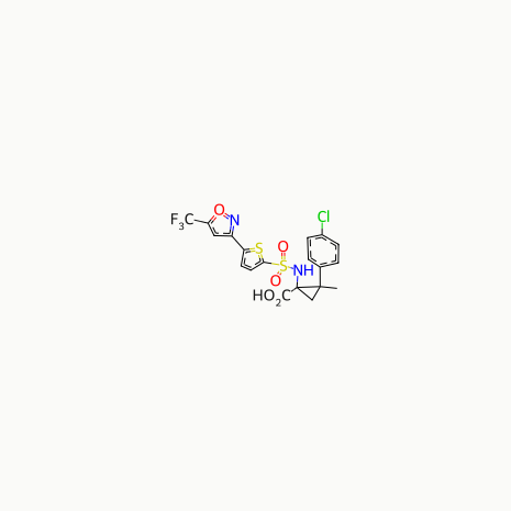 CC1(c2ccc(Cl)cc2)CC1(NS(=O)(=O)c1ccc(-c2cc(C(F)(F)F)on2)s1)C(=O)O